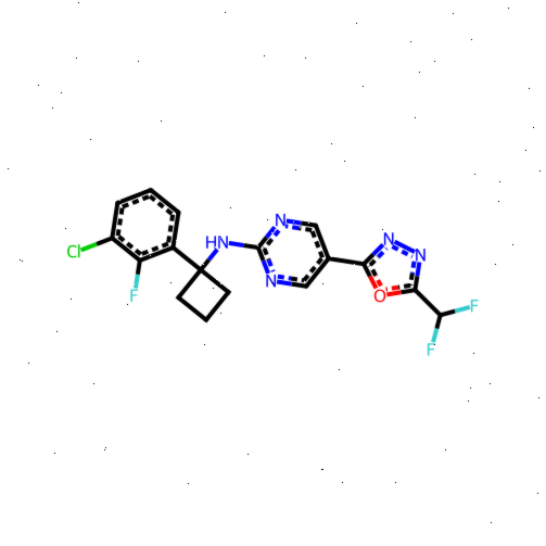 Fc1c(Cl)cccc1C1(Nc2ncc(-c3nnc(C(F)F)o3)cn2)CCC1